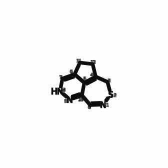 C1=NSCC2=C3C(=CNN=C13)CC2